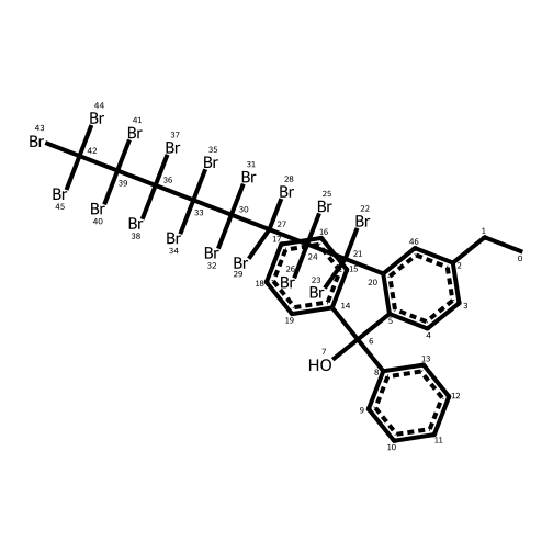 CCc1ccc(C(O)(c2ccccc2)c2ccccc2)c(C(Br)(Br)C(Br)(Br)C(Br)(Br)C(Br)(Br)C(Br)(Br)C(Br)(Br)C(Br)(Br)C(Br)(Br)Br)c1